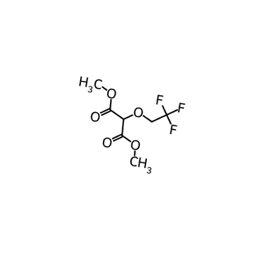 COC(=O)C(OCC(F)(F)F)C(=O)OC